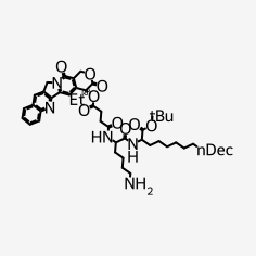 CCCCCCCCCCCCCCCCC(NC(=O)C(CCCCN)NC(=O)CCC(=O)O[C@]1(CC)C(=O)OCc2c1cc1n(c2=O)Cc2cc3ccccc3nc2-1)C(=O)OC(C)(C)C